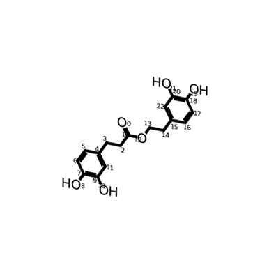 O=C(CCc1ccc(O)c(O)c1)OCCc1ccc(O)c(O)c1